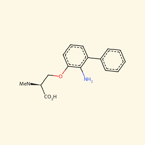 CN[C@@H](COc1cccc(-c2ccccc2)c1N)C(=O)O